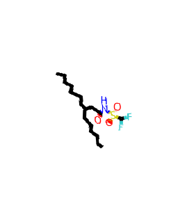 CCCCCCCC(CCCCCC)CC(=O)NS(=O)(=O)C(F)F